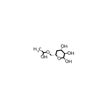 CC(O)OC[C@@H]1C[C@H](O)[C@@H](O)[C@@H](O)O1